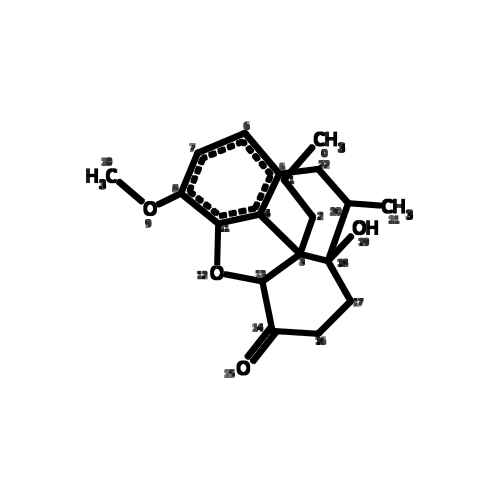 CCCC12c3c4ccc(OC)c3OC1C(=O)CCC2(O)C(C)C4